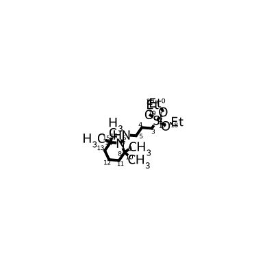 CCO[Si](CCCNN1C(C)(C)CCCC1(C)C)(OCC)OCC